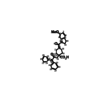 COc1ccc2c(c1)N(C(=O)N1CCC(CC(=O)N(c3ccccc3)c3ccccc3)(C(=O)O)CC1)CC2